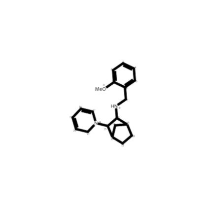 COc1ccccc1CNC1C2CCC(C2)C1N1C=CC=CC1